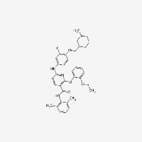 CCOc1ccccc1Oc1nc(Nc2ccc(OCC3CCCN(C)C3)c(F)c2)ncc1C(=O)Nc1c(C)cccc1C